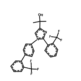 CC(C)(O)c1cn(-c2ccc(-c3ccccc3C(F)(F)F)cc2)c(-c2ccccc2C(F)(F)F)n1